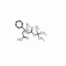 CC(C)(C)OC(=O)N[C@@](C)(CC(=O)O)c1ccccc1